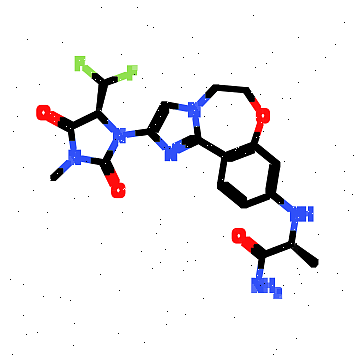 C[C@H](Nc1ccc2c(c1)OCCn1cc(N3C(=O)N(C)C(=O)[C@H]3C(F)F)nc1-2)C(N)=O